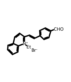 CC[n+]1c(C=Cc2ccc(C=O)cc2)ccc2ccccc21.[Br-]